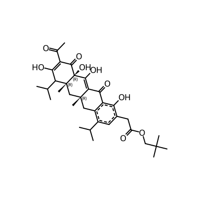 CC(=O)C1=C(O)C(C(C)C)[C@@]2(C)C[C@@]3(C)Cc4c(C(C)C)cc(CC(=O)OCC(C)(C)C)c(O)c4C(=O)C3=C(O)[C@@]2(O)C1=O